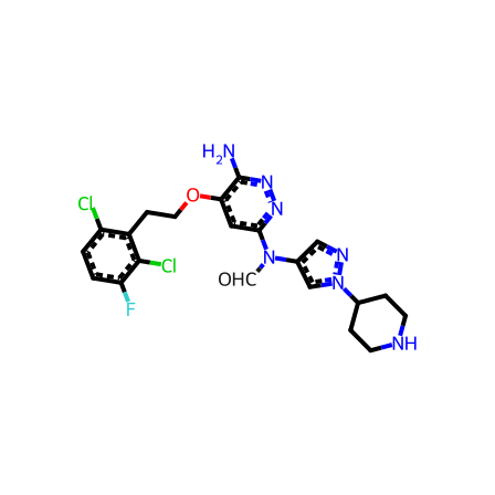 Nc1nnc(N(C=O)c2cnn(C3CCNCC3)c2)cc1OCCc1c(Cl)ccc(F)c1Cl